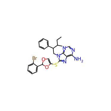 CCC(C)C(Cn1c(SC2=COC(c3ccccc3Br)O2)nc2c(N)ncnc21)c1ccccc1